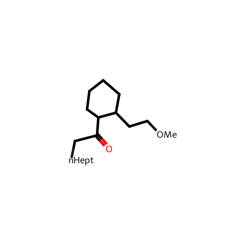 CCCCCCCCC(=O)C1CCCCC1CCOC